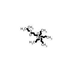 CCCCP(CCCC)(CCCC)(CCCC)OC(=O)CCC(=O)OCC(C)C